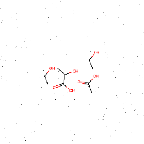 CC(=O)O.CC(O)C(=O)O.CCO.CCO